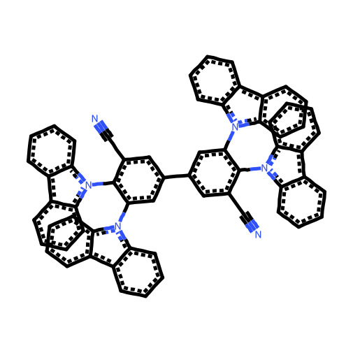 N#Cc1cc(-c2cc(C#N)c(-n3c4ccccc4c4ccccc43)c(-n3c4ccccc4c4ccccc43)c2)cc(-n2c3ccccc3c3ccccc32)c1-n1c2ccccc2c2ccccc21